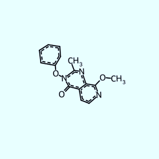 COc1nccc2c(=O)n(Oc3ccccc3)c(C)nc12